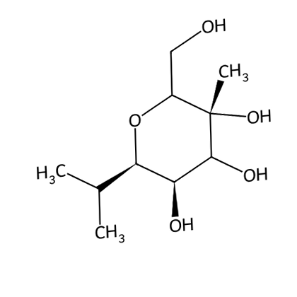 CC(C)[C@H]1OC(CO)[C@](C)(O)C(O)[C@H]1O